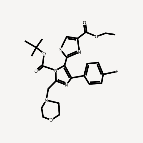 CCOC(=O)c1csc(-c2c(-c3ccc(F)cc3)nc(CN3CCOCC3)n2C(=O)OC(C)(C)C)n1